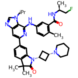 Cc1ccc(Nc2nc(-c3ccc4c(c3)N([C@H]3C[C@@H](N5CCCCC5)C3)C(=O)C4(C)C)cc3ncn(C(C)C)c23)cc1C(=O)N[C@@H](C)CF